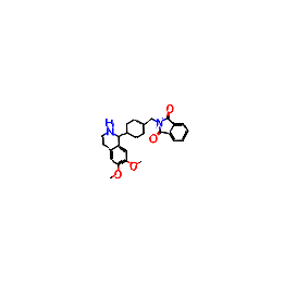 COc1cc2c(cc1OC)C(C1CCC(CN3C(=O)c4ccccc4C3=O)CC1)NCC2